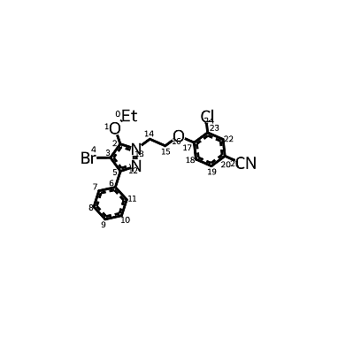 CCOc1c(Br)c(-c2ccccc2)nn1CCOc1ccc(C#N)cc1Cl